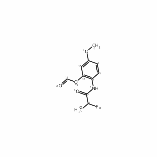 COc1ccc(NC(=O)C(C)F)c(OC=O)c1